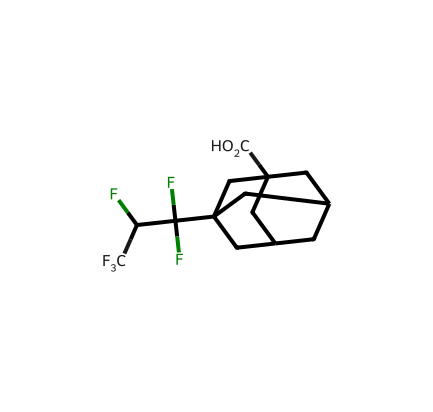 O=C(O)C12CC3CC(C1)CC(C(F)(F)C(F)C(F)(F)F)(C3)C2